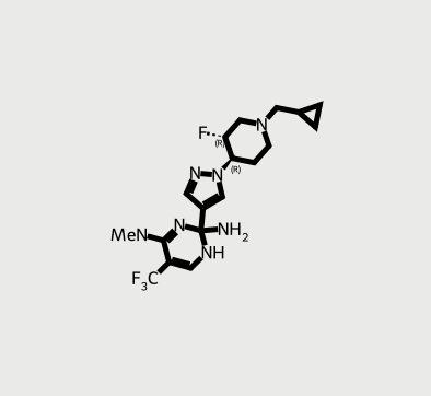 CNC1=NC(N)(c2cnn([C@@H]3CCN(CC4CC4)C[C@H]3F)c2)NC=C1C(F)(F)F